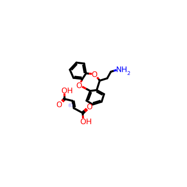 NCCC1Oc2ccccc2Oc2ccccc21.O=C(O)/C=C/C(=O)O